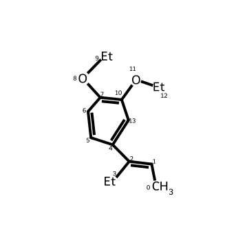 CC=C(CC)c1ccc(OCC)c(OCC)c1